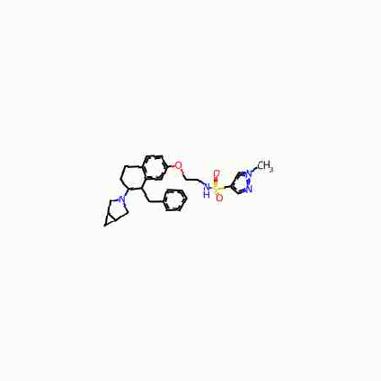 Cn1cc(S(=O)(=O)NCCOc2ccc3c(c2)C(Cc2ccccc2)C(N2CC4CC4C2)CC3)cn1